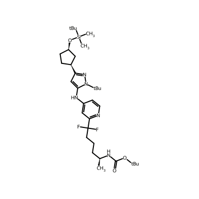 C[C@@H](CCCC(F)(F)c1cc(Nc2cc([C@H]3CC[C@@H](O[Si](C)(C)C(C)(C)C)C3)nn2C(C)(C)C)ccn1)NC(=O)OC(C)(C)C